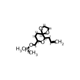 C=CCC1OC(COP(C)C)CCC12OCCO2